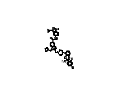 CC1(c2ccc(Cl)cc2F)Oc2cccc(C3=CCN(Cc4nc5cc(C(=O)Nc6ccc7[nH]nc(C8CC8)c7c6)ccc5n4C[C@@H]4CCO4)CC3)c2O1